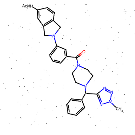 CC(=O)Nc1ccc2c(c1)CN(c1cccc(C(=O)N3CCN(C(c4ccccc4)c4nnn(C)n4)CC3)c1)C2